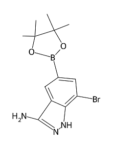 CC1(C)OB(c2cc(Br)c3[nH]nc(N)c3c2)OC1(C)C